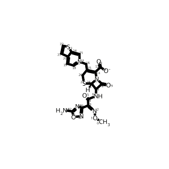 CON=C(C(=O)NC1C(=O)N2C(C(=O)[O-])=C(C[n+]3ccc4ccsc4c3)CS[C@@H]12)c1noc(N)n1